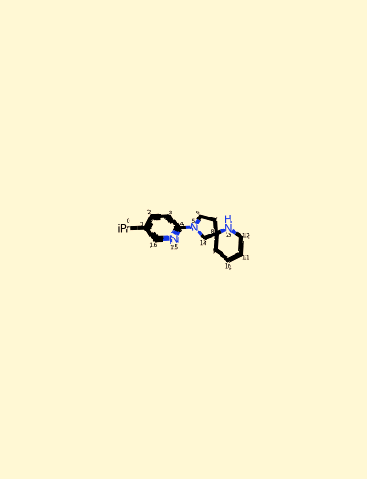 CC(C)c1ccc(N2CCC3(CCCCN3)C2)nc1